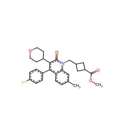 COC(=O)C1CC(Cn2c(=O)c(C3CCOCC3)c(-c3ccc(F)cc3)c3ccc(C)cc32)C1